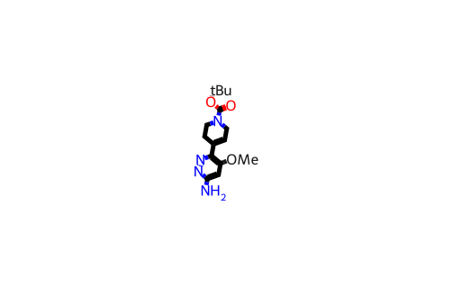 COc1cc(N)nnc1C1=CCN(C(=O)OC(C)(C)C)CC1